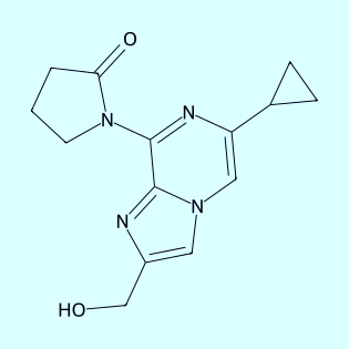 O=C1CCCN1c1nc(C2CC2)cn2cc(CO)nc12